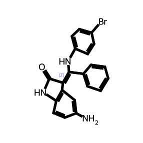 Nc1ccc2c(c1)/C(=C(/Nc1ccc(Br)cc1)c1ccccc1)C(=O)N2